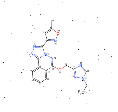 Cc1cc(-c2nnc3c4ccccc4c(OCc4ncn(CC(F)(F)F)n4)nn23)no1